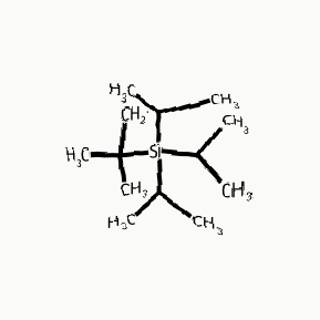 [CH2]C(C)(C)[Si](C(C)C)(C(C)C)C(C)C